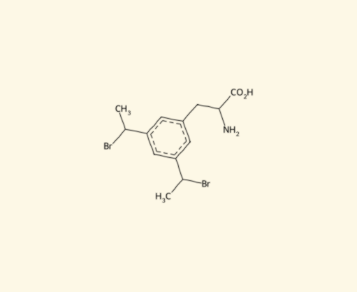 CC(Br)c1cc(CC(N)C(=O)O)cc(C(C)Br)c1